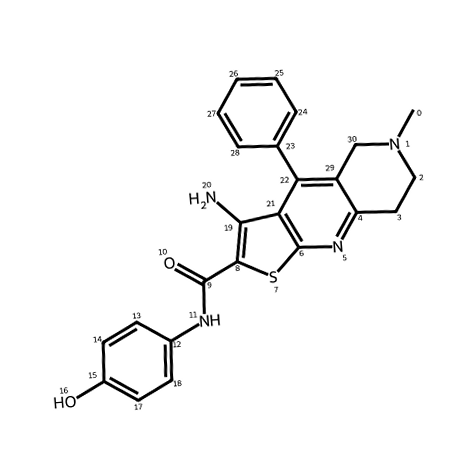 CN1CCc2nc3sc(C(=O)Nc4ccc(O)cc4)c(N)c3c(-c3ccccc3)c2C1